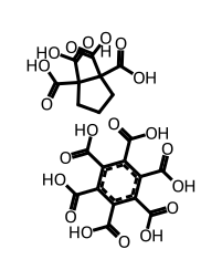 O=C(O)C1(C(=O)O)CCCC1(C(=O)O)C(=O)O.O=C(O)c1c(C(=O)O)c(C(=O)O)c(C(=O)O)c(C(=O)O)c1C(=O)O